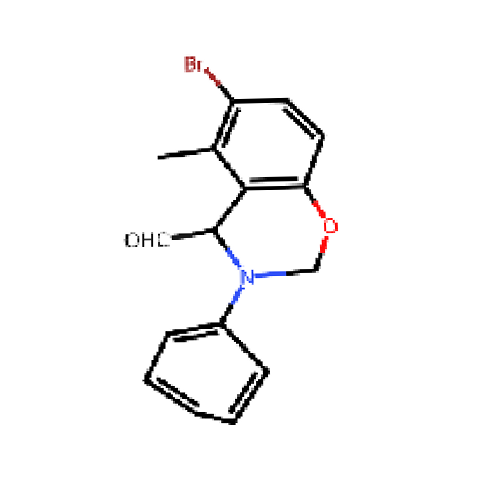 Cc1c(Br)ccc2c1C(C=O)N(c1ccccc1)CO2